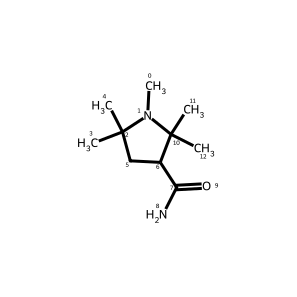 CN1C(C)(C)CC(C(N)=O)C1(C)C